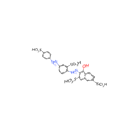 O=S(=O)(O)c1ccc(/N=N/c2ccc(/N=N/c3c(S(=O)(=O)O)cc4cc(S(=O)(=O)O)ccc4c3O)c(S(=O)(=O)O)c2)cc1